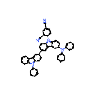 N#Cc1ccc(-n2c3ccc(-c4ccc5c(c4)c4ccccc4n5-c4ccccc4)cc3c3cc(N(c4ccccc4)c4ccccc4)ccc32)c(C#N)c1